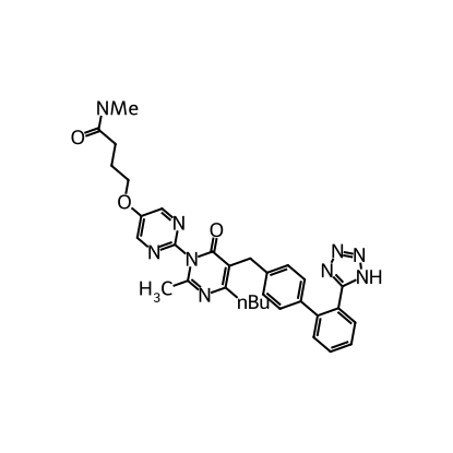 CCCCc1nc(C)n(-c2ncc(OCCCC(=O)NC)cn2)c(=O)c1Cc1ccc(-c2ccccc2-c2nnn[nH]2)cc1